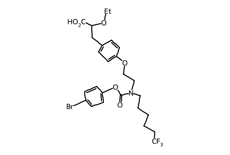 CCOC(Cc1ccc(OCCN(CCCCCC(F)(F)F)C(=O)Oc2ccc(Br)cc2)cc1)C(=O)O